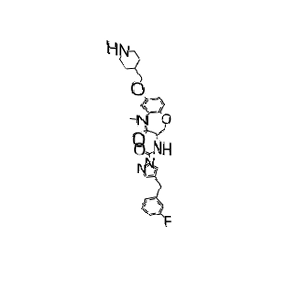 CN1C(=O)[C@@H](NC(=O)n2cc(Cc3cccc(F)c3)cn2)COc2ccc(OCC3CCNCC3)cc21